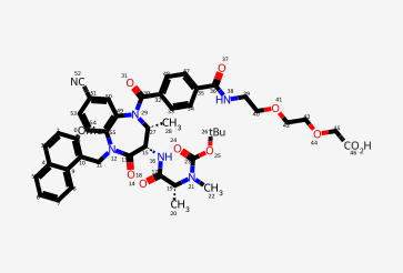 COc1ccc2ccccc2c1CN1C(=O)[C@@H](NC(=O)[C@@H](C)N(C)C(=O)OC(C)(C)C)[C@@H](C)N(C(=O)c2ccc(C(=O)NCCOCCOCC(=O)O)cc2)c2cc(C#N)ccc21